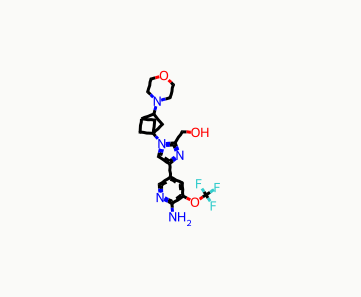 Nc1ncc(-c2cn(C34CC(C3)C(N3CCOCC3)C4)c(CO)n2)cc1OC(F)(F)F